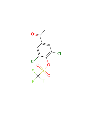 CC(=O)c1cc(Cl)c(OS(=O)(=O)C(F)(F)F)c(Cl)c1